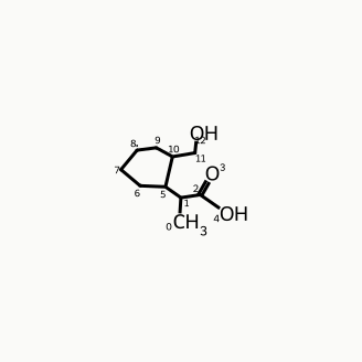 CC(C(=O)O)C1CC[CH]CC1CO